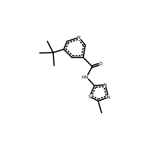 Cc1nnc(NC(=O)c2cncc(C(C)(C)C)c2)s1